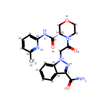 NC(=O)c1nn(CC(=O)N2CCOC[C@H]2C(=O)Nc2cccc(C(F)(F)F)n2)c2ccccc12